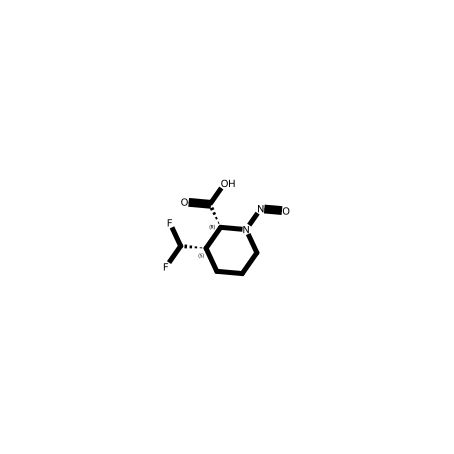 O=NN1CCC[C@H](C(F)F)[C@@H]1C(=O)O